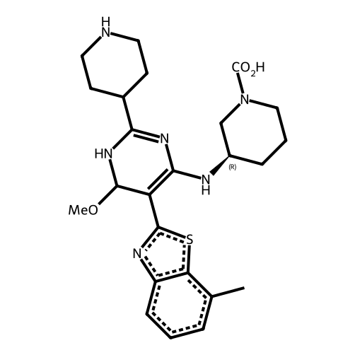 COC1NC(C2CCNCC2)=NC(N[C@@H]2CCCN(C(=O)O)C2)=C1c1nc2cccc(C)c2s1